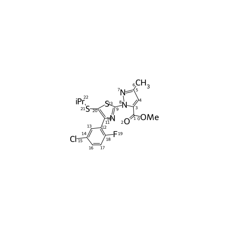 COC(=O)c1cc(C)nn1-c1nc(-c2cc(Cl)ccc2F)c(SC(C)C)s1